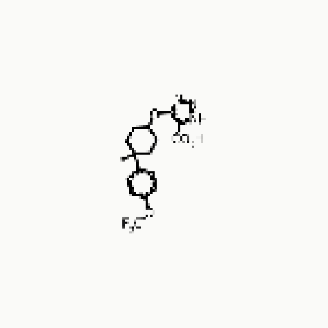 CC1(c2ccc(OC(F)(F)F)cc2)CCC(Oc2nn[nH]c2C(=O)O)CC1